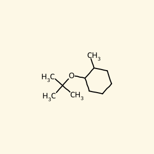 CC1CCCCC1OC(C)(C)C